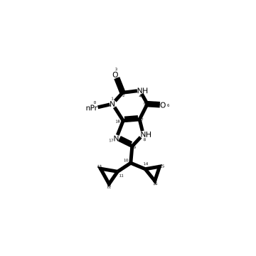 CCCn1c(=O)[nH]c(=O)c2[nH]c(C(C3CC3)C3CC3)nc21